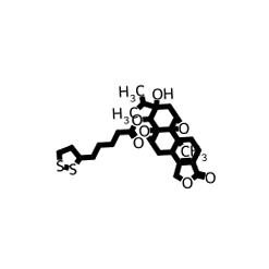 CC(C)C1(O)CC2OC23C2(C)CCC4=C(COC4=O)C2CC2OC23C1OC(=O)CCCCC1CCSS1